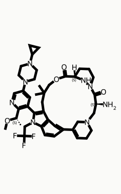 CO[C@@H](C)c1ncc(N2CCN(C3CC3)CC2)cc1-c1c2c3cc(ccc3n1CC(F)(F)F)C1=CCCN(C1)C[C@H](N)C(=O)N1CCC[C@H](N1)C(=O)OCC(C)(C)C2